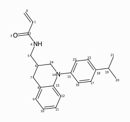 C=CC(=O)NCC1Cc2ccccc2N(c2ccc(C(C)C)cc2)C1